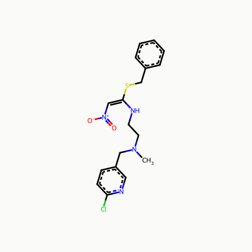 CN(CCNC(=C[N+](=O)[O-])SCc1ccccc1)Cc1ccc(Cl)nc1